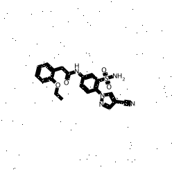 CCOc1ccccc1CC(=O)Nc1ccc(-n2cc(C#N)cn2)c(S(N)(=O)=O)c1